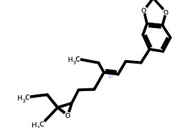 CC/C(=C\CCc1ccc2c(c1)OCO2)CCC1OC1(C)CC